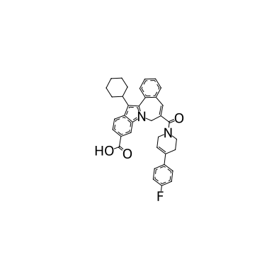 O=C(O)c1ccc2c(C3CCCCC3)c3n(c2c1)CC(C(=O)N1CC=C(c2ccc(F)cc2)CC1)=Cc1ccccc1-3